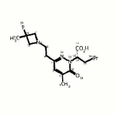 Cc1cc(CCN2CC(C)(F)C2)nn([C@@H](CC(C)C)C(=O)O)c1=O